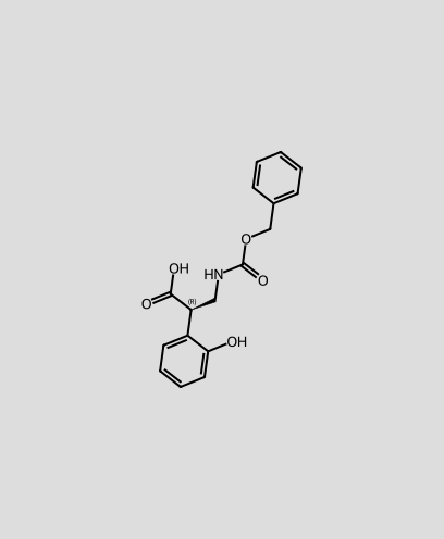 O=C(NC[C@H](C(=O)O)c1ccccc1O)OCc1ccccc1